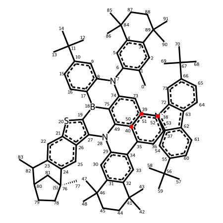 Cc1cc2c(cc1N1c3cc(C(C)(C)C)ccc3B3c4sc5cc6c(cc5c4N(c4cc5c(cc4-c4ccccc4)C(C)(C)CCC5(C)C)c4cc(-n5c7cc(C(C)(C)C)ccc7c7ccc(C(C)(C)C)cc75)cc1c43)[C@@]1(C)CCC(C1)C6C)C(C)(C)CCC2(C)C